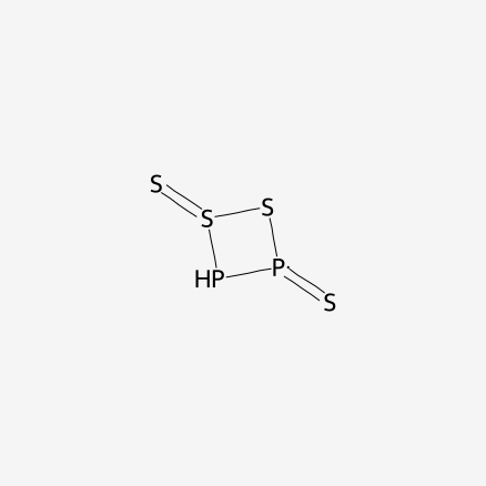 S=[P]1PS(=S)S1